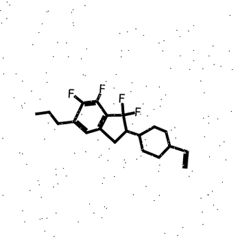 C=CC1CCC(C2Cc3cc(CCC)c(F)c(F)c3C2(F)F)CC1